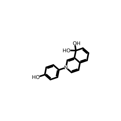 Oc1ccc(N2C=CC3=CC=CC(O)(O)C3=C2)cc1